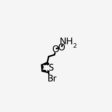 NOOCCc1ccc(Br)s1